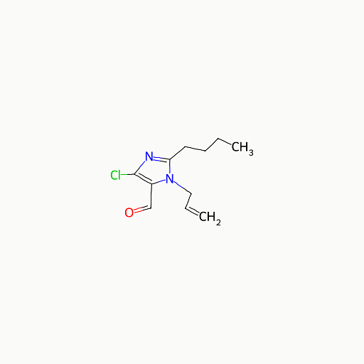 C=CCn1c(CCCC)nc(Cl)c1C=O